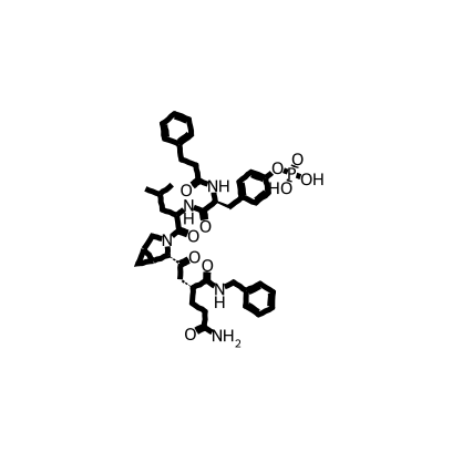 CC(C)CC(NC(=O)[C@H](Cc1ccc(OP(=O)(O)O)cc1)NC(=O)CCc1ccccc1)C(=O)N1CC2CC2[C@H]1C(=O)C[C@@H](CCC(N)=O)C(=O)NCc1ccccc1